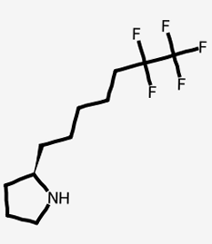 FC(F)(F)C(F)(F)CCCCC[C@@H]1CCCN1